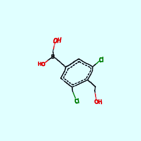 OCc1c(Cl)cc(B(O)O)cc1Cl